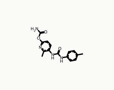 Cc1ccc(NC(=O)Nc2ccc(OC(N)=O)nc2C)cc1